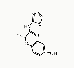 C[C@@H](Oc1ccc(O)cc1)C(=O)Nc1nccs1